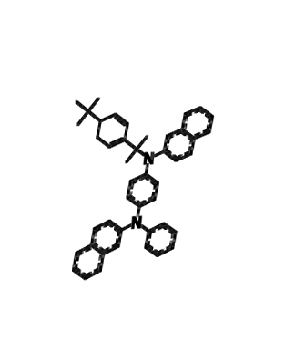 CC(C)(C)C1C=CC(C(C)(C)N(c2ccc(N(c3ccccc3)c3ccc4ccccc4c3)cc2)c2ccc3ccccc3c2)=CC1